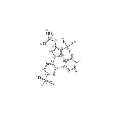 CS(=O)(=O)c1ccc(-c2nn(CC(N)=O)c(C(F)(F)F)c2-c2ccncc2)cc1